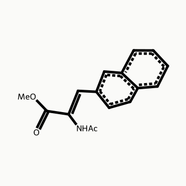 COC(=O)/C(=C/c1ccc2ccccc2c1)NC(C)=O